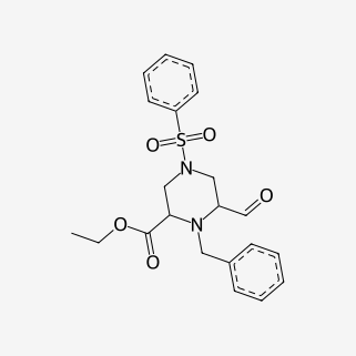 CCOC(=O)C1CN(S(=O)(=O)c2ccccc2)CC(C=O)N1Cc1ccccc1